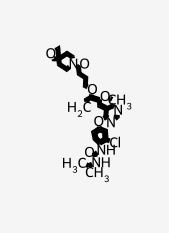 C=C/C(OCCCC(=O)N1CCC2(CC1)COC2)=C(\C=C1/CN=CN=C1Oc1ccc(NC(=O)NC(C)C)c(Cl)c1)OC